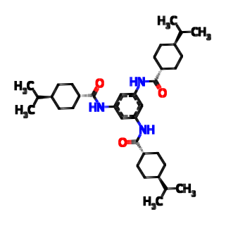 CC(C)[C@H]1CC[C@H](C(=O)Nc2cc(NC(=O)[C@H]3CC[C@H](C(C)C)CC3)cc(NC(=O)[C@H]3CC[C@H](C(C)C)CC3)c2)CC1